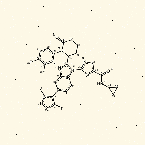 Cc1noc(C)c1-c1ccc2c(c1)nc(C1CCCC(=O)N1c1ccc(F)c(F)c1)n2-c1ncc(C(=O)NC2CC2)s1